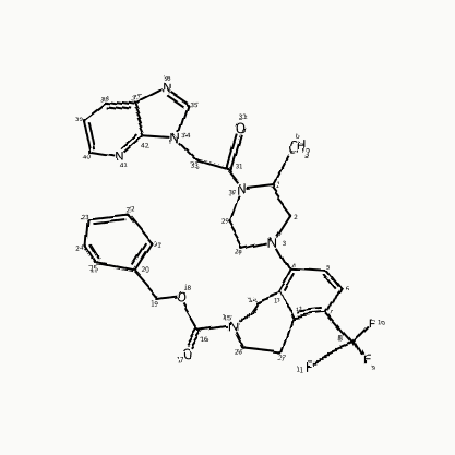 CC1CN(c2ccc(C(F)(F)F)c3c2CN(C(=O)OCc2ccccc2)CC3)CCN1C(=O)Cn1cnc2cccnc21